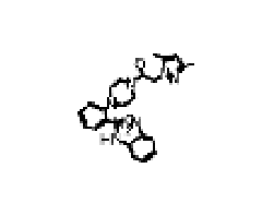 Cc1cc(C)n(CC(=O)N2CCN(c3ccccc3C(=O)Nc3ccccc3N)CC2)n1